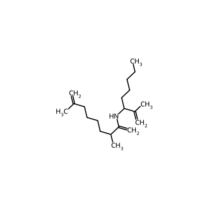 C=C(C)CCCCC(C)C(=C)NC(CCCCC)C(=C)C